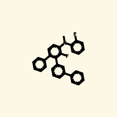 CN(c1ccccc1F)c1ccc(-c2ccccc2)c(-c2cccc(-c3ccccc3)c2)c1F